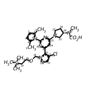 Cc1ccc(C)n1-c1nc(-c2c(Cl)cnn2COCC[Si](C)(C)C)cc(N2CC[C@@H](N(C)C(=O)O)C2)n1